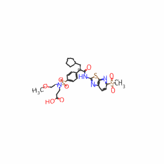 COCCN(CCC(=O)O)S(=O)(=O)c1ccc([C@@H](CC2CCCC2)C(=O)Nc2nc3ccc(S(C)(=O)=O)nc3s2)cc1